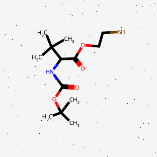 CC(C)(C)OC(=O)NC(C(=O)OCCS)C(C)(C)C